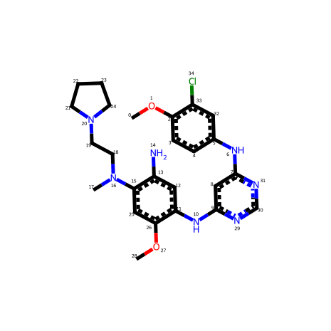 COc1ccc(Nc2cc(Nc3cc(N)c(N(C)CCN4CCCC4)cc3OC)ncn2)cc1Cl